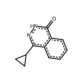 O=c1[nH]nc(C2CC2)c2ccccc12